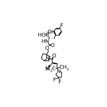 CC(C)(C=C(C#N)C(=O)N1C2CCC1(COC(=O)N[C@@H](Cc1ccc(F)cc1)B(O)O)CC2)N1CCC(F)(F)C1